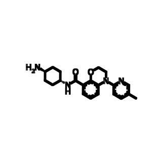 Cc1ccc(N2CCOc3c(C(=O)N[C@H]4CC[C@H](N)CC4)cccc32)nc1